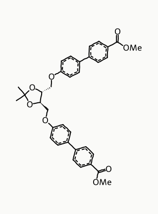 COC(=O)c1ccc(-c2ccc(OC[C@H]3OC(C)(C)O[C@@H]3COc3ccc(-c4ccc(C(=O)OC)cc4)cc3)cc2)cc1